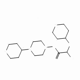 Cl.Cl.O=CC(OC1CCNCC1)C(=O)ON1CCN(C2CCNCC2)CC1